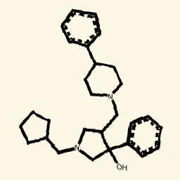 OC1(c2ccccc2)CN(CC2CCCC2)CC1CN1CCC(c2ccccc2)CC1